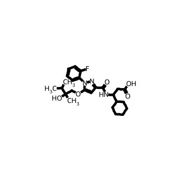 CC(C)C(C)(O)COc1cc(C(=O)NC(CC(=O)O)C2CCCCC2)nn1-c1ccccc1F